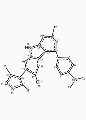 Cc1nc(-c2ccc(N(C)C)cc2)c2c(n1)[nH]c1cc(-c3c(C)noc3C)c(O)cc12